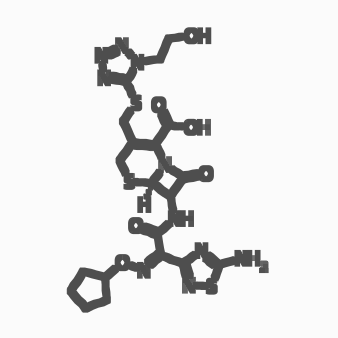 Nc1nc(/C(=N/OC2CCCC2)C(=O)NC2C(=O)N3C(C(=O)O)=C(CSc4nnnn4CCO)CS[C@H]23)ns1